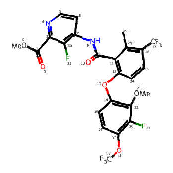 COC(=O)c1nccc(NC(=O)c2c(Oc3ccc(OC(F)(F)F)c(F)c3OC)ccc(C(F)(F)F)c2C)c1F